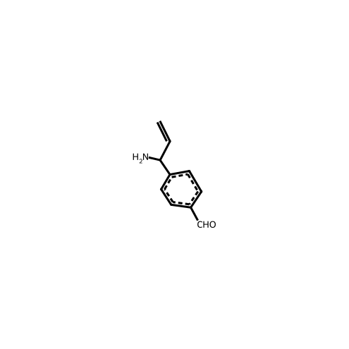 C=CC(N)c1ccc(C=O)cc1